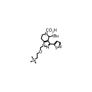 CC(C)(C)C1c2c(-c3ccns3)nn(COCC[Si](C)(C)C)c2CCN1C(=O)O